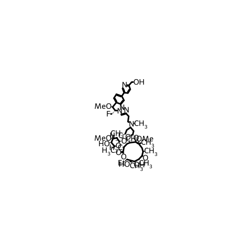 CC[C@H]1OC(=O)[C@H](C)[C@@H](O[C@H]2C[C@@](C)(OC)[C@@H](O)[C@H](C)O2)[C@H](C)[C@@H](O[C@H]2C[C@@H](N(C)CCc3cn([C@H](CF)[C@H](OC)c4ccc(-c5ccc(CO)nc5)cc4)nn3)C[C@@H](C)O2)[C@](C)(OC)C[C@@H](C)C(=O)[C@H](C)[C@@H](O)[C@]1(C)O